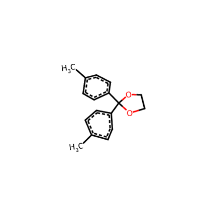 Cc1ccc(C2(c3ccc(C)cc3)OCCO2)cc1